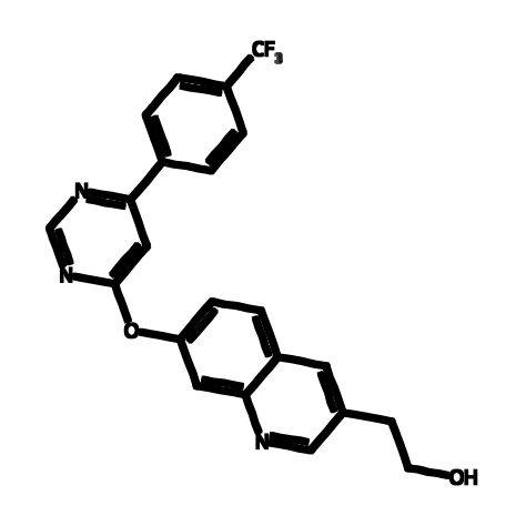 OCCc1cnc2cc(Oc3cc(-c4ccc(C(F)(F)F)cc4)ncn3)ccc2c1